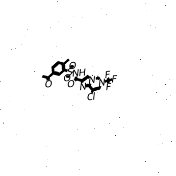 CC(=O)c1ccc(C)c(S(=O)(=O)NC(=O)C2=C[N+]3CN(C(F)(F)F)C=C(Cl)C3=N2)c1